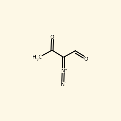 CC(=O)C(C=O)=[N+]=[N-]